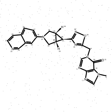 Cn1cnc2ncn(Cc3nc([C@H]4[C@@H]5CN(c6ccc7ccncc7c6)C[C@@H]54)no3)c(=O)c21